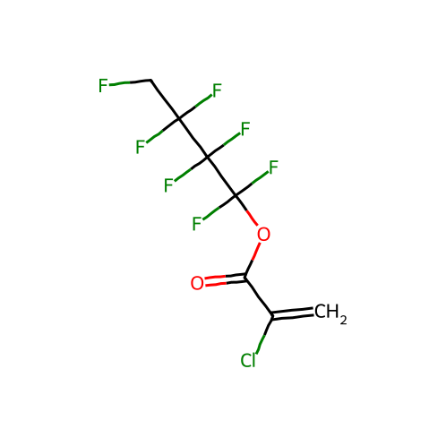 C=C(Cl)C(=O)OC(F)(F)C(F)(F)C(F)(F)CF